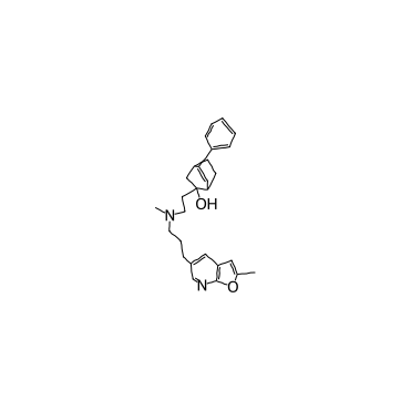 Cc1cc2cc(CCCN(C)CCC3(O)CC4CCC3C=C4c3ccccc3)cnc2o1